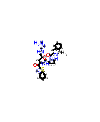 CN[C@@H](Cc1ccccc1)C(=O)N1CCC[C@H]1C(=O)NC(CCCNC=NN)C(=O)c1nc2ccccc2s1